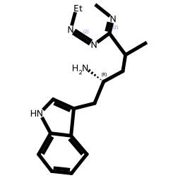 CC/N=N\C(=N/C)C(C)C[C@@H](N)Cc1c[nH]c2ccccc12